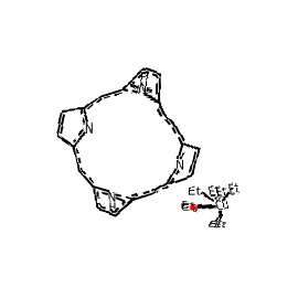 C1=Cc2cc3ccc(cc4nc(cc5ccc(cc1n2)[nH]5)C=C4)[nH]3.C[CH2][Cu]([CH2]C)([CH2]C)([CH2]C)([CH2]C)([CH2]C)([CH2]C)[CH2]C